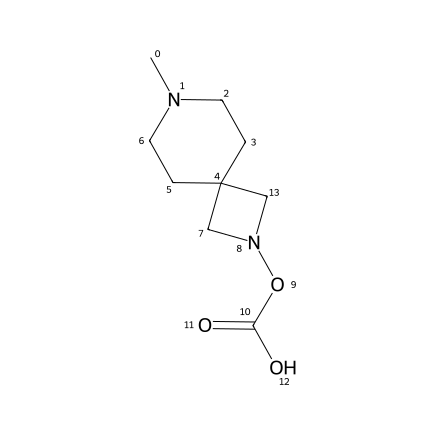 CN1CCC2(CC1)CN(OC(=O)O)C2